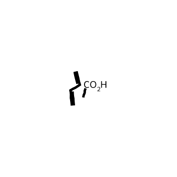 C=CC=C.CC(=O)O